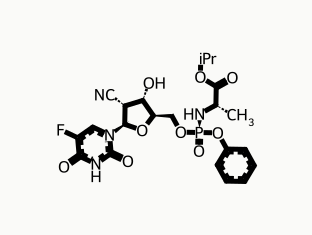 CC(C)OC(=O)[C@H](C)N[P@@](=O)(OC[C@H]1O[C@@H](n2cc(F)c(=O)[nH]c2=O)[C@H](C#N)[C@@H]1O)Oc1ccccc1